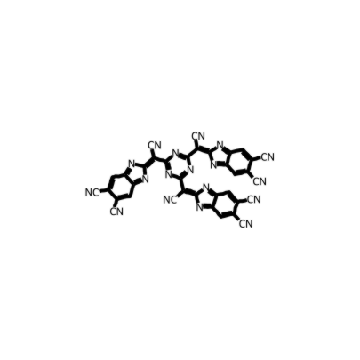 N#CC(=C1N=c2cc(C#N)c(C#N)cc2=N1)c1nc(C(C#N)=C2N=c3cc(C#N)c(C#N)cc3=N2)nc(C(C#N)=C2N=c3cc(C#N)c(C#N)cc3=N2)n1